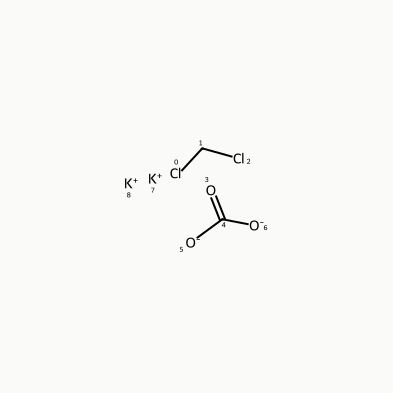 ClCCl.O=C([O-])[O-].[K+].[K+]